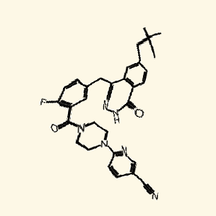 CC(C)(C)Cc1ccc2c(=O)[nH]nc(Cc3ccc(F)c(C(=O)N4CCN(c5ccc(C#N)cn5)CC4)c3)c2c1